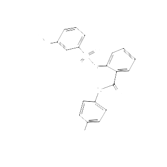 Cc1ccc(NC(=O)c2ccccc2NS(=O)(=O)c2cccc(OC(F)(F)F)c2)cc1